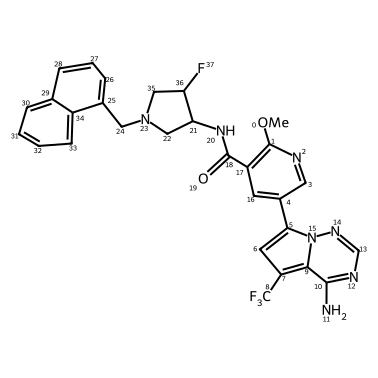 COc1ncc(-c2cc(C(F)(F)F)c3c(N)ncnn23)cc1C(=O)NC1CN(Cc2cccc3ccccc23)CC1F